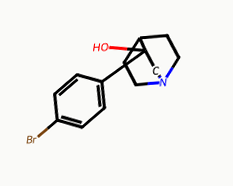 OC1(c2ccc(Br)cc2)CN2CCC1CC2